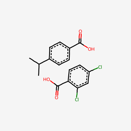 CC(C)c1ccc(C(=O)O)cc1.O=C(O)c1ccc(Cl)cc1Cl